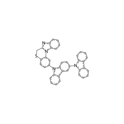 c1ccc2c(c1)nc1n2-c2cc(-n3c4ccccc4c4cc(-n5c6ccccc6c6ccccc65)ccc43)ccc2SC1